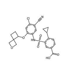 N#Cc1cc(NS(=O)(=O)c2cc(C(=O)O)ccc2C2CC2)c(OC2CCC23COC3)cc1Cl